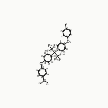 Cc1ccc(Oc2ccc(C(c3ccc(Oc4ccc(C(C)C)cc4)cc3)(C(F)(F)F)C(F)(F)F)cc2)cc1